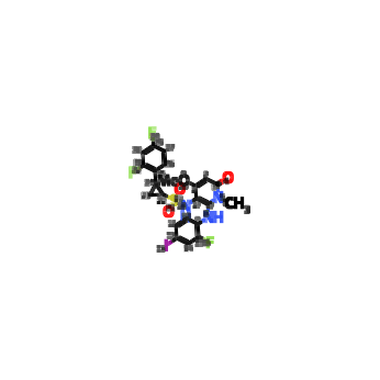 COc1cc(=O)n(C)c(Nc2ccc(I)cc2F)c1NS(=O)(=O)C1CC1c1ccc(F)cc1F